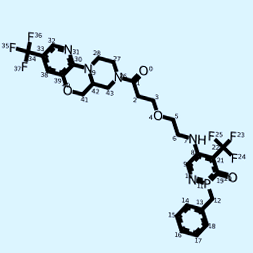 O=C(CCOCCNc1cnp(Cc2ccccc2)c(=O)c1C(F)(F)F)N1CCN2c3ncc(C(F)(F)F)cc3OCC2C1